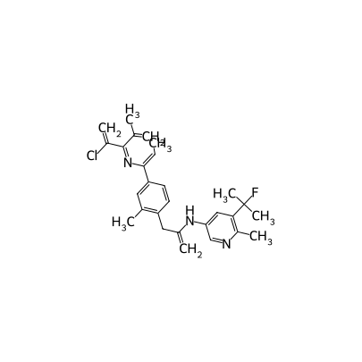 C=C(Cc1ccc(C(=C/C)/N=C(\C(=C)C)C(=C)Cl)cc1C)Nc1cnc(C)c(C(C)(C)F)c1